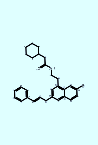 O=C(CC1CCCCC1)NCCc1cc(CC=Cc2ccccc2)cc2ccc(Br)cc12